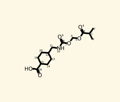 CC(C)C(=O)OCOC(=O)NCC1CCC(C(=O)O)CC1